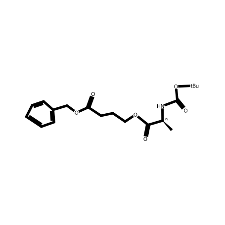 C[C@H](NC(=O)OC(C)(C)C)C(=O)OCCCC(=O)OCc1ccccc1